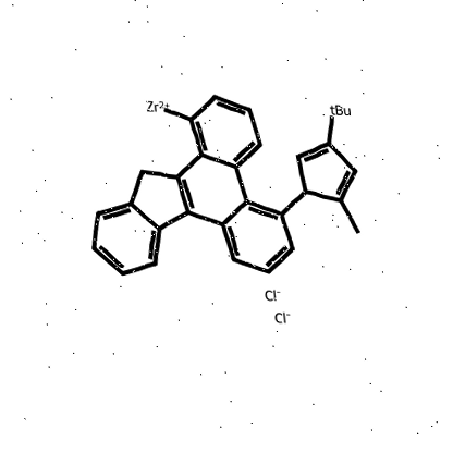 CC1=CC(C(C)(C)C)=CC1c1cccc2c3c(c4[c]([Zr+2])cccc4c12)Cc1ccccc1-3.[Cl-].[Cl-]